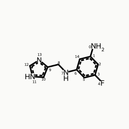 Nc1cc(F)cc(NCc2c[nH]cn2)c1